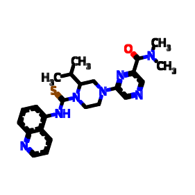 CC(C)C1CN(c2cncc(C(=O)N(C)C)n2)CCN1C(=S)Nc1cccc2ncccc12